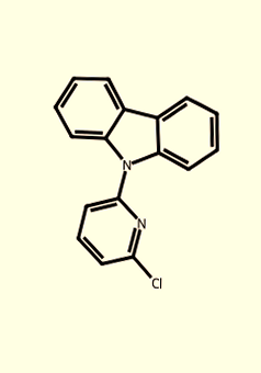 Clc1cccc(-n2c3ccccc3c3ccccc32)n1